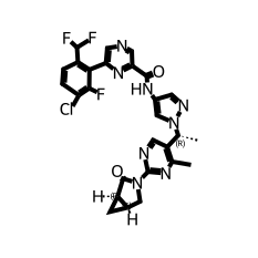 Cc1nc(N2C[C@H]3C[C@H]3C2=O)ncc1[C@@H](C)n1cc(NC(=O)c2cncc(-c3c(C(F)F)ccc(Cl)c3F)n2)cn1